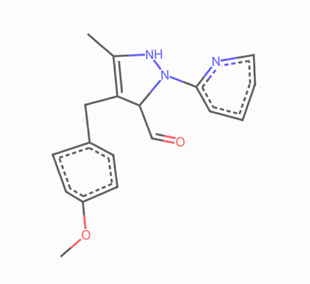 COc1ccc(CC2=C(C)NN(c3ccccn3)C2C=O)cc1